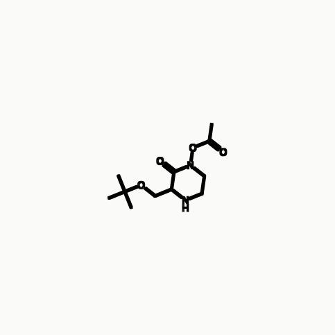 CC(=O)ON1CCNC(COC(C)(C)C)C1=O